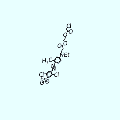 CCN(CCC(=O)OCCOC(=O)CCl)c1ccc(/N=N/c2cc(Cl)c(S(=O)(=O)F)cc2Cl)c(C)c1